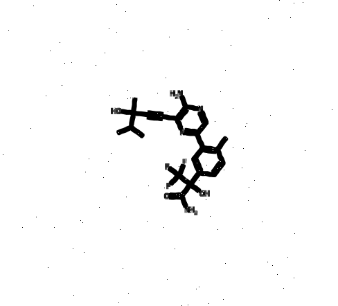 Cc1ccc(C(O)(C(N)=O)C(F)(F)F)cc1-c1cnc(N)c(C#CC(C)(O)C(C)C)n1